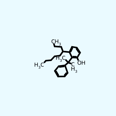 CCCCCC(CCC)c1cccc(O)c1C(C)(C)c1ccccc1